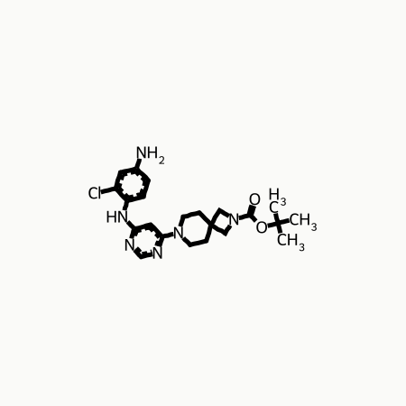 CC(C)(C)OC(=O)N1CC2(CCN(c3cc(Nc4ccc(N)cc4Cl)ncn3)CC2)C1